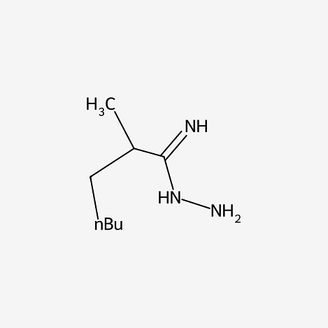 CCCCCC(C)C(=N)NN